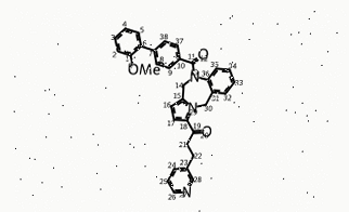 COc1ccccc1-c1ccc(C(=O)N2Cc3ccc(C(=O)CCc4cccnc4)n3Cc3ccccc32)cc1